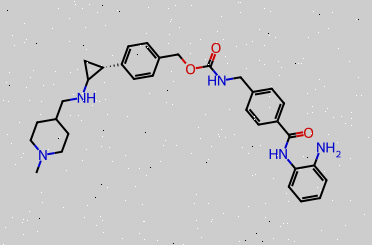 CN1CCC(CNC2C[C@@H]2c2ccc(COC(=O)NCc3ccc(C(=O)Nc4ccccc4N)cc3)cc2)CC1